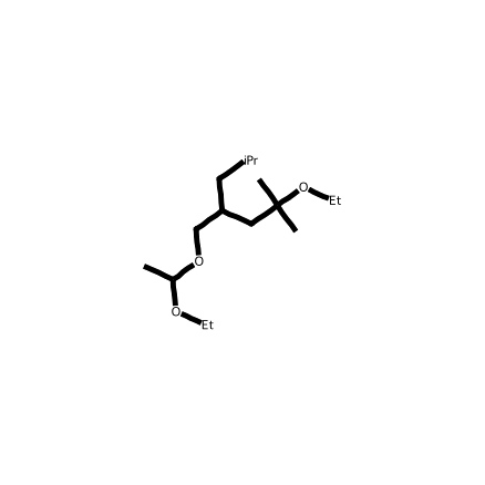 CCOC(C)OCC(CC(C)C)CC(C)(C)OCC